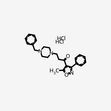 Cc1onc(-c2ccccc2)c1C(=O)CCN1CCN(Cc2ccccc2)CC1.Cl.Cl